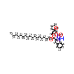 C#C[C@@]1(CO[PH](=O)N[C@@H](Cc2ccccc2)C(=O)OCCCCCCCCCCCCCCCCC)CCCO1